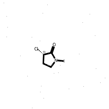 O=C1[C@@H](Cl)CCN1I